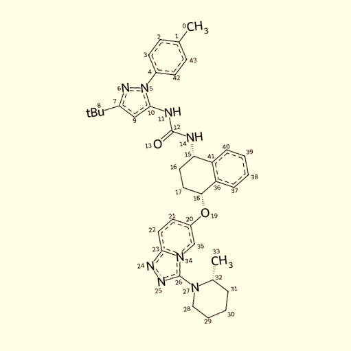 Cc1ccc(-n2nc(C(C)(C)C)cc2NC(=O)N[C@H]2CC[C@@H](Oc3ccc4nnc(N5CCCC[C@H]5C)n4c3)c3ccccc32)cc1